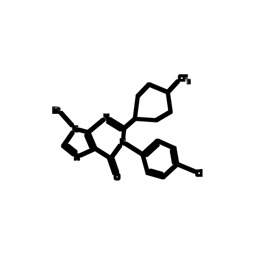 CCn1cnc2c(=O)n(-c3ccc(Cl)cc3)c(C3CCC(C(F)(F)F)CC3)nc21